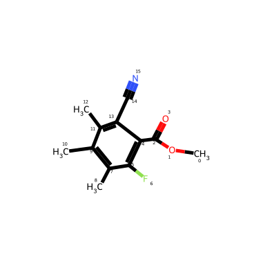 COC(=O)c1c(F)c(C)c(C)c(C)c1C#N